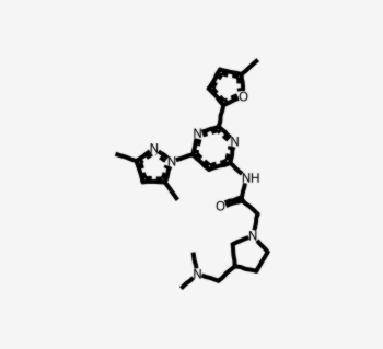 Cc1cc(C)n(-c2cc(NC(=O)CN3CCC(CN(C)C)C3)nc(-c3ccc(C)o3)n2)n1